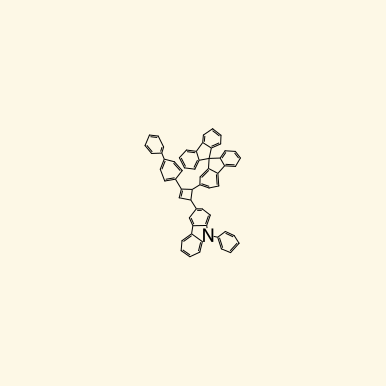 C1=C(c2ccc(-c3ccccc3)cc2)C(c2ccc3c(c2)C2(c4ccccc4-c4ccccc42)c2ccccc2-3)C1c1ccc2c(c1)c1ccccc1n2-c1ccccc1